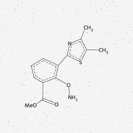 COC(=O)c1cccc(-c2nc(C)c(C)s2)c1ON